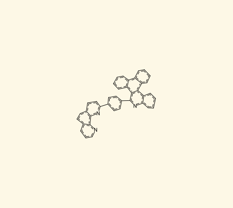 c1cnc2c(c1)ccc1ccc(-c3ccc(-c4nc5ccccc5c5c6ccccc6c6ccccc6c45)cc3)nc12